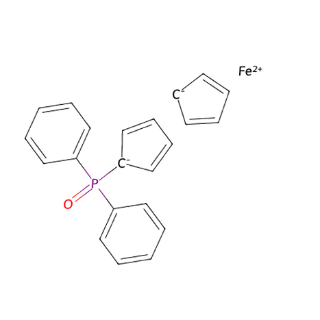 O=P(c1ccccc1)(c1ccccc1)[c-]1cccc1.[Fe+2].c1cc[cH-]c1